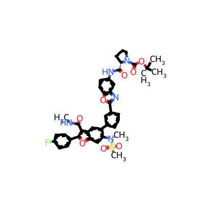 CNC(=O)c1c(-c2ccc(F)cc2)oc2cc(N(C)S(C)(=O)=O)c(-c3cccc(-c4nc5cc(NC(=O)[C@@H]6CCCN6C(=O)OC(C)(C)C)ccc5o4)c3)cc12